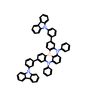 c1ccc(N2c3cc(-c4cccc(-n5c6ccccc6c6ccccc65)c4)ccc3B3c4ccc(-c5cccc(-n6c7ccccc7c7ccccc76)c5)cc4N(c4ccccc4)c4cccc2c43)cc1